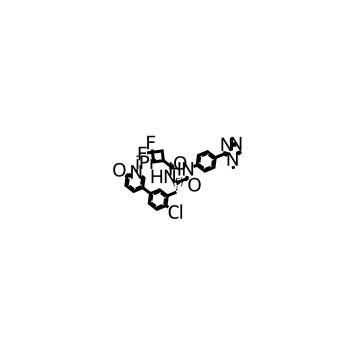 CC(C)n1cc(-c2ccc(Cl)c(C[C@H](NC(=O)C3CC(F)(F)C3)C(=O)Nc3ccc(-c4nncn4C)cc3)c2)ccc1=O